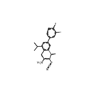 Cc1cc(-c2cc(C(C)C)c3c(c2)C(C)C(N=[N+]=[N-])=C(N)C3)ccc1F